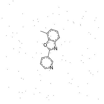 Cc1cccc2nc(-c3cccnc3)oc12